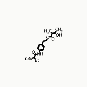 CCCCC(CC)C(=O)Nc1ccc(CCOC(=O)/C(C)=C(/C)O)cc1